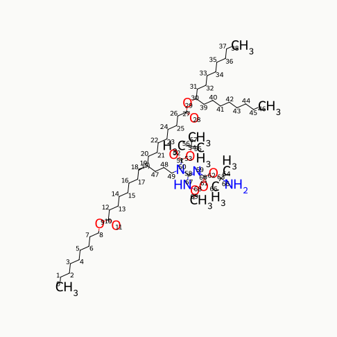 CCCCCCCCCOC(=O)CCCCCCC[C@@H](CCCCCCCC(=O)OC(CCCCCCCC)CCCCCCCC)CCCN(C(=O)OC(C)(C)C)C(=NC(=O)OC(C)(C)N)NOC